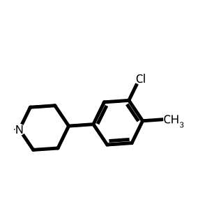 Cc1ccc(C2CC[N]CC2)cc1Cl